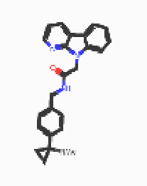 CNC1(c2ccc(CNC(=O)Cn3c4ccccc4c4cccnc43)cc2)CC1